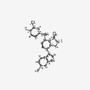 CCc1nc(Nc2ccc(-c3cnc4cc(F)ccn34)c3c2C(=O)NC3)ccc1C